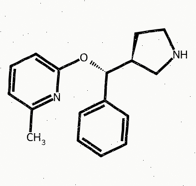 Cc1cccc(O[C@@H](c2ccccc2)[C@H]2CCNC2)n1